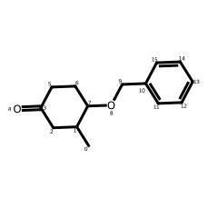 CC1CC(=O)CCC1OCc1ccccc1